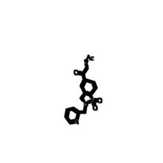 CC(=O)SCC(=O)c1ccc2c(c1)CN(Cc1ccccn1)S2(=O)=O